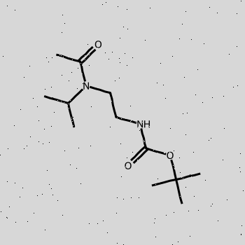 CC(=O)N(CCNC(=O)OC(C)(C)C)C(C)C